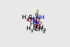 CC(=O)N1CC(c2c[nH]c3cc(F)ccc23)C2C1CCN2C(=O)C(NC(=O)OC(C)(C)C)C1CCCCC1